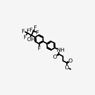 COC(=O)CCC(=O)Nc1ccc(-c2ccc(C(O)(C(F)(F)F)C(F)(F)F)cc2F)cc1